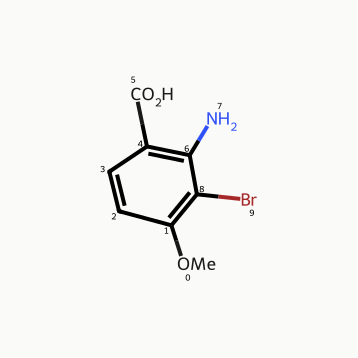 COc1ccc(C(=O)O)c(N)c1Br